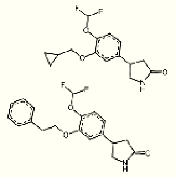 O=C1CC(c2ccc(OC(F)F)c(OCC3CC3)c2)CN1.O=C1CC(c2ccc(OC(F)F)c(OCCc3ccccc3)c2)CN1